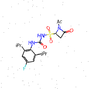 CC(=O)N1C(=O)CC1S(=O)(=O)NC(=O)Nc1c(C(C)C)cc(F)cc1C(C)C